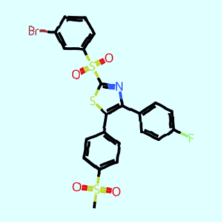 CS(=O)(=O)c1ccc(-c2sc(S(=O)(=O)c3cccc(Br)c3)nc2-c2ccc(F)cc2)cc1